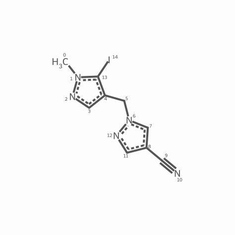 Cn1ncc(Cn2cc(C#N)cn2)c1I